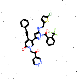 O=C(Cn1cc(-c2cc(NCc3ccc(Cl)s3)n(C(=O)c3ccccc3C(F)(F)F)n2)c(C#Cc2ccccc2)cc1=O)c1ccnnc1